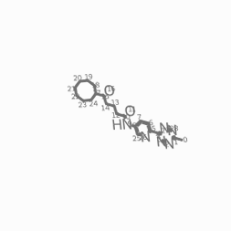 Cc1nnc(-c2ccc(NC(=O)CCCC(=O)C3CCCCCCC3)cn2)nn1